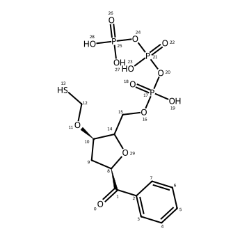 O=C(c1ccccc1)[C@H]1C[C@@H](OCS)C(COP(=O)(O)OP(=O)(O)OP(=O)(O)O)O1